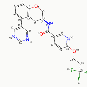 O=C(N[C@@H]1COc2cccc(-c3cncnc3)c2C1)c1ccc(OCCC(F)(F)F)nc1